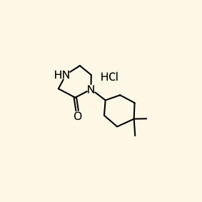 CC1(C)CCC(N2CCNCC2=O)CC1.Cl